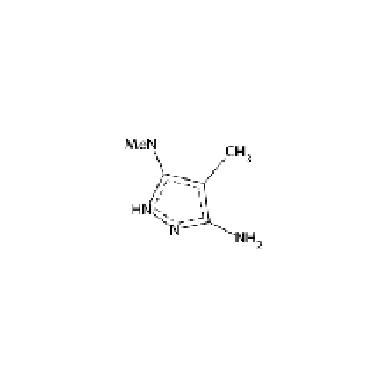 CNc1[nH]nc(N)c1C